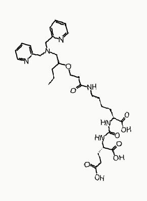 CCCC(CN(Cc1ccccn1)Cc1ccccn1)OCCC(=O)NCCCC[C@H](NC(=O)N[C@@H](CCC(=O)O)C(=O)O)C(=O)O